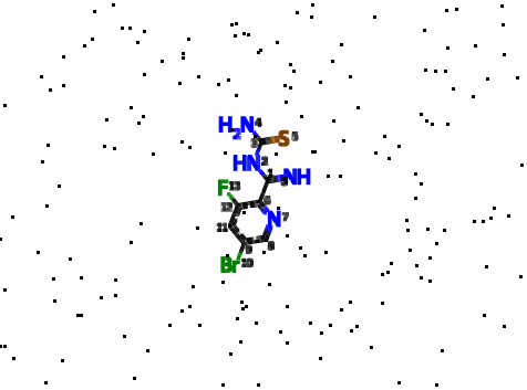 N=C(NC(N)=S)c1ncc(Br)cc1F